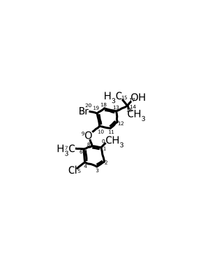 Cc1ccc(Cl)c(C)c1Oc1ccc(C(C)(C)O)cc1Br